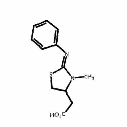 CN1C(=Nc2ccccc2)SCC1CC(=O)O